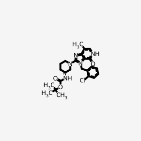 Cc1c[nH]c(=O)c2c1nc(N1CCC[C@@H](NC(=O)OC(C)(C)C)C1)n2Cc1ccccc1Cl